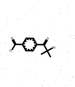 CCC(C)(C)C(=O)c1ccc(C(=O)Cl)cc1